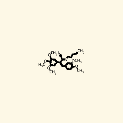 C=CCCCN=C(C#N)C(=Cc1ccc(OC)c(OC)c1)c1cc(OC)c(OC)c(OC)c1